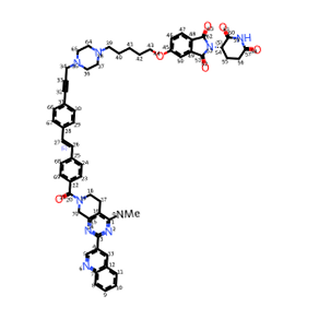 CNc1nc(-c2cnc3ccccc3c2)nc2c1CCN(C(=O)c1ccc(/C=C/c3ccc(C#CCN4CCN(CCCCCOc5ccc6c(c5)C(=O)N([C@H]5CCC(=O)NC5=O)C6=O)CC4)cc3)cc1)C2